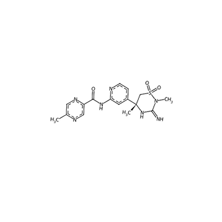 Cc1cnc(C(=O)Nc2cc([C@]3(C)CS(=O)(=O)N(C)C(=N)N3)ccn2)cn1